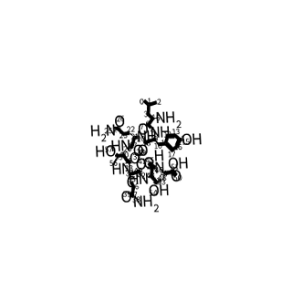 CC(C)C[C@H](N)C(=O)N[C@@H](Cc1ccc(O)cc1)C(=O)N[C@@H](CCC(N)=O)C(=O)N[C@H](C(=O)N[C@@H](CCC(N)=O)C(=O)N[C@H](C(=O)N[C@@H](C)C(=O)O)[C@@H](C)O)[C@@H](C)O